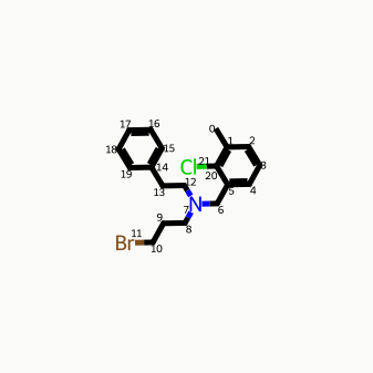 Cc1cccc(CN(CCCBr)CCc2ccccc2)c1Cl